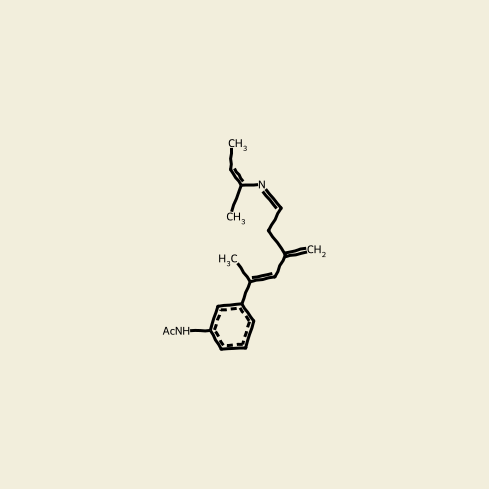 C=C(/C=C(\C)c1cccc(NC(C)=O)c1)C/C=N\C(C)=C/C